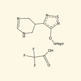 CCCCCCCOc1nsnc1C1CN=CNC1.O=C(O)C(F)(F)F